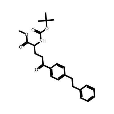 COC(=O)[C@H](CCC(=O)c1ccc(CCc2ccccc2)cc1)NC(=O)OC(C)(C)C